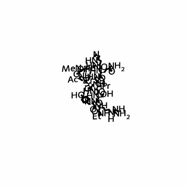 CCNC(=O)[C@H](CCCNC(=N)N)NC(=O)[C@H](Cc1ccc(O)cc1)NC(=O)[C@H](CO)NC(=O)[C@H](CC(C)C)NC(=O)[C@H](CSSC[C@H](NC(=O)[C@@H](NC)C(C)C)C(C)=O)NC(=O)[C@@H](NC(=O)[C@H](CCC(N)=O)NC(=O)C(Cc1cnc[nH]1)NC=O)C(C)C